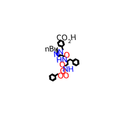 CCCCc1ncc(C(=O)NC(CC(=O)NOC(=O)OCc2ccccc2)Cc2ccccc2)n1Cc1ccc(C(=O)O)cc1